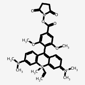 C=C[Si]1(C)C2=CC(=[N+](C)C)C=CC2=C(c2c(OC)cc(C(=O)ON3C(=O)CCC3=O)cc2OC)c2ccc(N(C)C)cc21